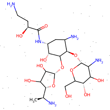 C[C@H](N)[C@H]1O[C@@H](OC2[C@H](O[C@H]3OC(CO)[C@@H](O)C(O)C3N)C(N)C[C@@H](NC(=O)[C@@H](O)CCN)[C@H]2O)C(O)C1O